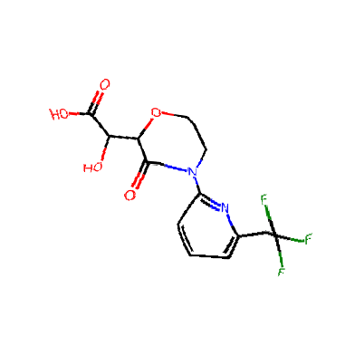 O=C(O)C(O)C1OCCN(c2cccc(C(F)(F)F)n2)C1=O